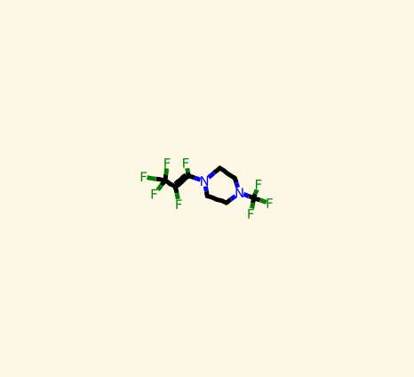 F/C(=C(/F)C(F)(F)F)N1CCN(C(F)(F)F)CC1